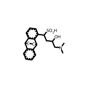 CN(C)CC(O)CC(c1cccc2c1C1CCC2c2ccccc21)S(=O)(=O)O